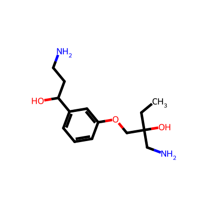 CCC(O)(CN)COc1cccc(C(O)CCN)c1